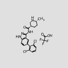 C[C@@H]1CC[C@@H](C(=O)Nc2n[nH]c3ccc(-c4c(Cl)cccc4Cl)cc23)CN1.O=C(O)C(F)(F)F